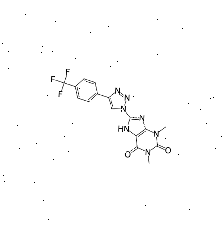 Cn1c(=O)c2[nH]c(-n3cc(-c4ccc(C(F)(F)F)cc4)nn3)nc2n(C)c1=O